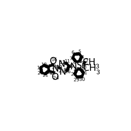 C[Si]1(C)c2ccccc2N(c2cnc(N3C(=O)c4ccccc4C3=O)nc2)c2ccccc21